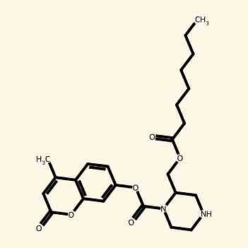 CCCCCCCC(=O)OCC1CNCCN1C(=O)Oc1ccc2c(C)cc(=O)oc2c1